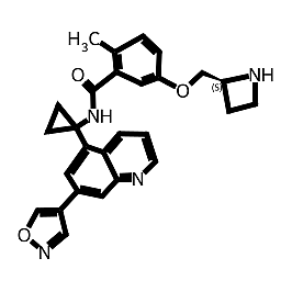 Cc1ccc(OC[C@@H]2CCN2)cc1C(=O)NC1(c2cc(-c3cnoc3)cc3ncccc23)CC1